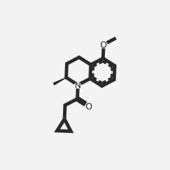 COc1cccc2c1CC[C@H](C)N2C(=O)CC1CC1